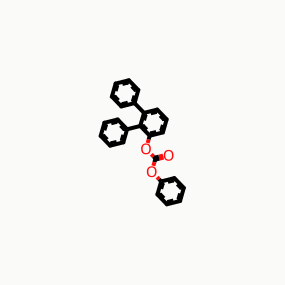 O=C(Oc1ccccc1)Oc1cccc(-c2ccccc2)c1-c1ccccc1